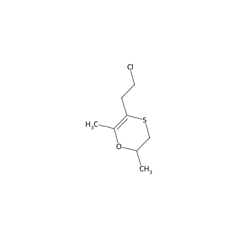 CC1=C(CCCl)SCC(C)O1